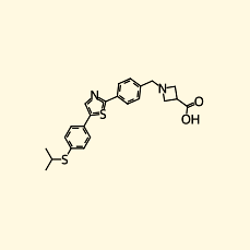 CC(C)Sc1ccc(-c2cnc(-c3ccc(CN4CC(C(=O)O)C4)cc3)s2)cc1